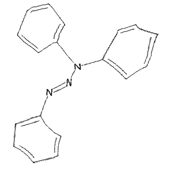 c1ccc(/N=N/N(c2ccccc2)c2ccccc2)cc1